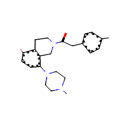 CC(C)c1ccc(CC(=O)N2CCc3c(O)ccc(N4CCN(C)CC4)c3C2)cc1